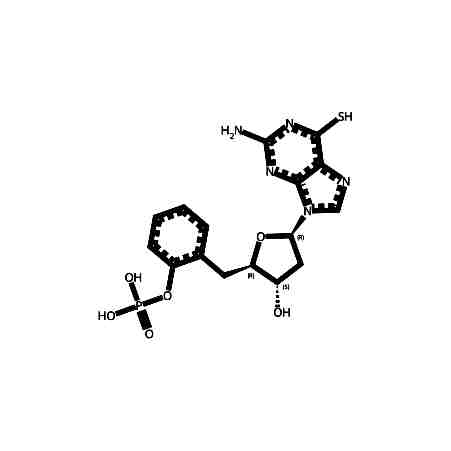 Nc1nc(S)c2ncn([C@H]3C[C@H](O)[C@@H](Cc4ccccc4OP(=O)(O)O)O3)c2n1